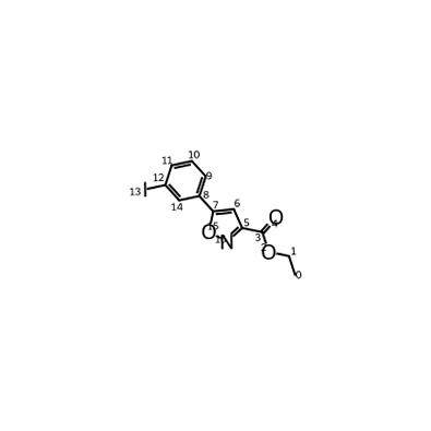 CCOC(=O)c1cc(-c2cccc(I)c2)on1